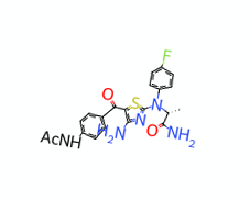 CC(=O)Nc1ccc(C(=O)c2sc(N(c3ccc(F)cc3)[C@H](C)C(N)=O)nc2N)cc1